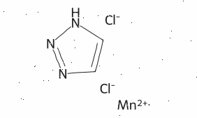 [Cl-].[Cl-].[Mn+2].c1c[nH]nn1